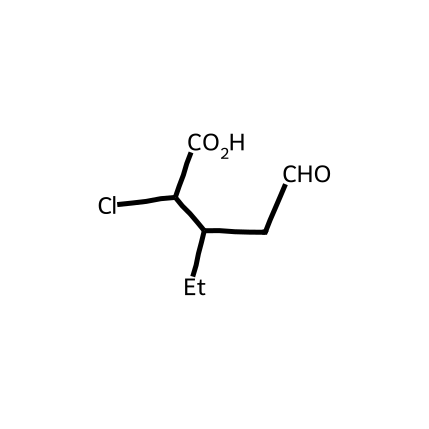 CCC(CC=O)C(Cl)C(=O)O